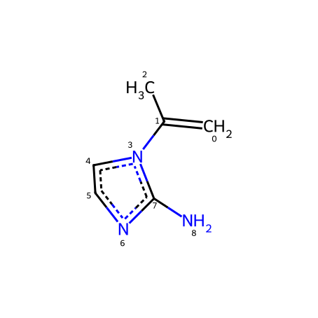 C=C(C)n1ccnc1N